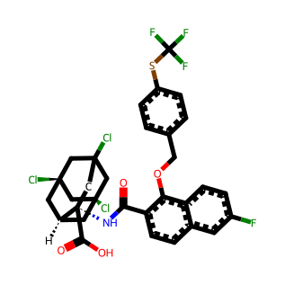 O=C(N[C@@]1(C(=O)O)CC2(Cl)C[C@]3(Cl)C[C@H]1C[C@](Cl)(C2)C3)c1ccc2cc(F)ccc2c1OCc1ccc(SC(F)(F)F)cc1